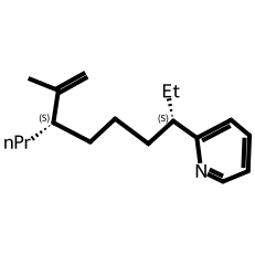 C=C(C)[C@@H](CCC)CCC[C@H](CC)c1ccccn1